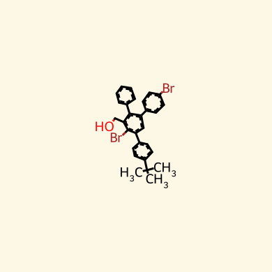 CC(C)(C)c1ccc(-c2cc(-c3ccc(Br)cc3)c(-c3ccccc3)c(CO)c2Br)cc1